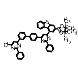 CC1(C)OB(c2cc(-c3cc(-c4ccc(-c5cccc(-c6cc(Cl)nc(-c7ccccc7)n6)c5)cc4)nc(-c4ccccc4)n3)c3c(c2)sc2ccccc23)OC1(C)C